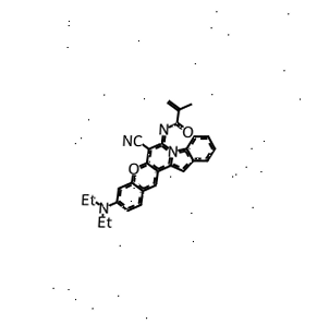 C=C(C)C(=O)/N=c1/c(C#N)c2oc3cc(N(CC)CC)ccc3cc2c2cc3ccccc3n12